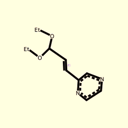 CCOC(/C=C/c1cnccn1)OCC